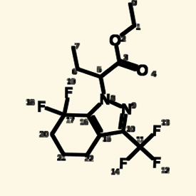 CCOC(=O)C(CC)n1nc(C(F)(F)F)c2c1C(F)(F)CCC2